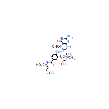 C[N+](C)(C)CCO.Nc1nc2c(c(=O)[nH]1)N(C=O)[C@@H](CNc1ccc(C(=O)N[C@@H](CCC(=O)[O-])C(=O)O)cc1)CN2